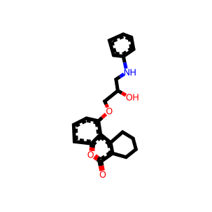 O=c1oc2cccc(OCC(O)CNc3ccccc3)c2c2c1CCCC2